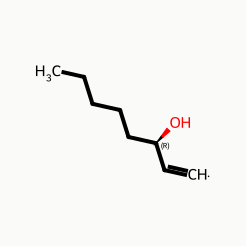 [CH]=C[C@H](O)CCCCC